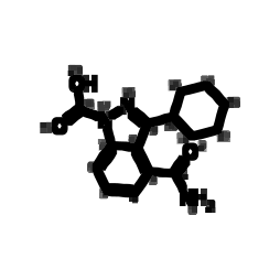 NC(=O)c1cccc2c1c(C1CCCCC1)nn2C(=O)O